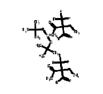 CC(C)(C)[O][Ti+2][O]C(C)(C)C.CCC(C(C)=O)(C(=O)[O-])C(F)(F)F.CCC(C(C)=O)(C(=O)[O-])C(F)(F)F